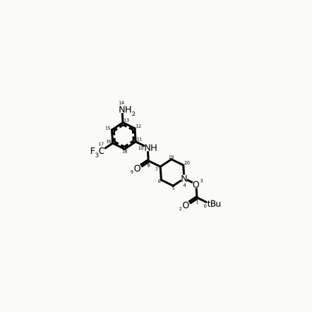 CC(C)(C)C(=O)ON1CCC(C(=O)Nc2cc(N)cc(C(F)(F)F)c2)CC1